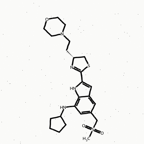 CS(=O)(=O)Cc1cc(NC2CCCC2)c2[nH]c(C3=N[C@H](CCN4CCOCC4)CS3)cc2c1